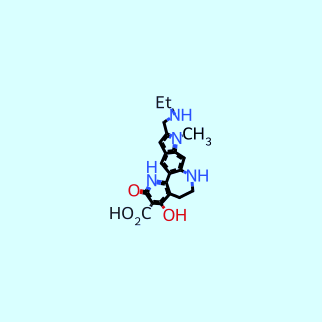 CCNCc1cc2cc3c(cc2n1C)NCCc1c-3[nH]c(=O)c(C(=O)O)c1O